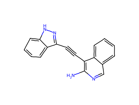 Nc1ncc2ccccc2c1C#Cc1n[nH]c2ccccc12